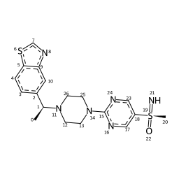 C[C@@H](c1ccc2scnc2c1)N1CCN(c2ncc([S@](C)(=N)=O)cn2)CC1